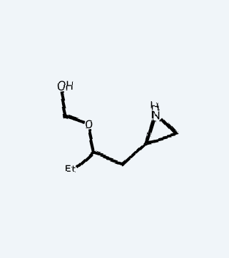 CCC(CC1CN1)OCO